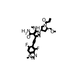 C=CC(=O)N1C[C@@H](n2nc(C#Cc3c(F)cc4c(nnn4C)c3F)c(C(N)=O)c2NC)C[C@@H]1COC